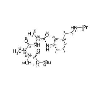 CC(C)NCCc1cccc(NC(=O)[C@H](C)NC(=O)[C@H](C)N(C)C(=O)OC(C)(C)C)c1